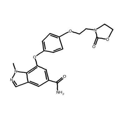 Cn1ncc2cc(C(N)=O)cc(Oc3ccc(OCCN4CCOC4=O)cc3)c21